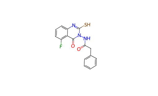 O=C(Cc1ccccc1)Nn1c(S)nc2cccc(F)c2c1=O